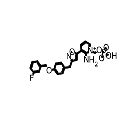 Nc1c(-c2cc(Cc3ccc(OCc4cccc(F)c4)cc3)no2)ccc[n+]1COP(=O)([O-])O